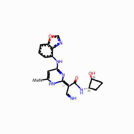 CNC1=CC(Nc2cccc3ocnc23)=N/C(=C(/C=N)C(=O)N[C@H]2CC[C@@H]2O)N1